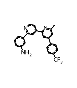 Cc1cc(-c2ccc(C(F)(F)F)cc2)cc(-c2ccnc(-c3cccc(N)c3)c2)n1